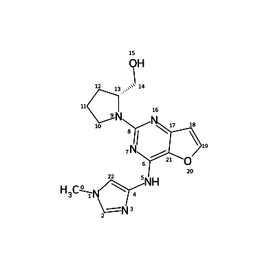 Cn1cnc(Nc2nc(N3CCC[C@@H]3CO)nc3ccoc23)c1